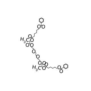 CC(OC(=O)CCCCCOC(=O)c1ccccc1)C(=O)OCCOCCOCCOC(=O)C(C)OC(=O)CCCCCOC(=O)c1ccccc1